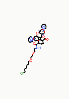 C/C=C1\C(=C/C(C)N2C3CC2CN(C)C3)Oc2cc(N3C4CC3CN(C)C4)ccc2C12OC(=O)c1ccc(C(=O)NCCOCCOCCCCCCCl)cc12